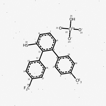 FC(F)(F)c1ccc(-c2cccc(S)c2-c2ccc(C(F)(F)F)cc2)cc1.[O-][Cl+3]([O-])([O-])O